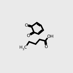 CCCCC(=O)O.O=C1C=CC=CC1=O